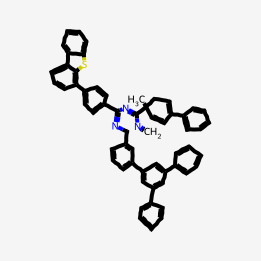 C=N/C(=N\C(=N/Cc1cccc(-c2cc(-c3ccccc3)cc(-c3ccccc3)c2)c1)c1ccc(-c2cccc3c2sc2ccccc23)cc1)C1(C)C=CC(c2ccccc2)=CC1